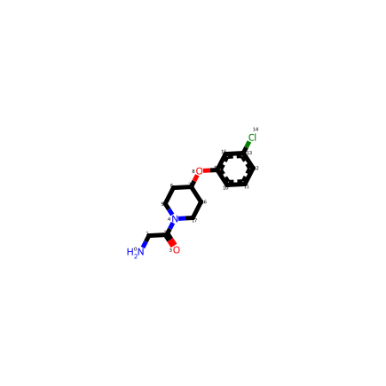 NCC(=O)N1CCC(Oc2cccc(Cl)c2)CC1